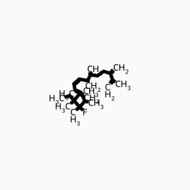 C=C(C)C(=C)CCC(=C)C(=C)/C=C\C(C)=C(/C)C(C)C(C)(F)C(C)(CC)CC